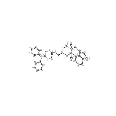 CN1C[C@H](CCN2CCN(C(c3ccccc3)c3ccccc3)CC2)C[C@@H]2c3cccc4[nH]cc(c34)C[C@H]21